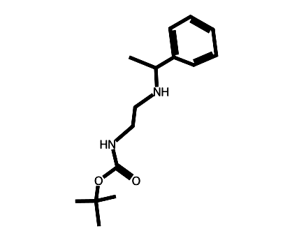 CC(NCCNC(=O)OC(C)(C)C)c1ccccc1